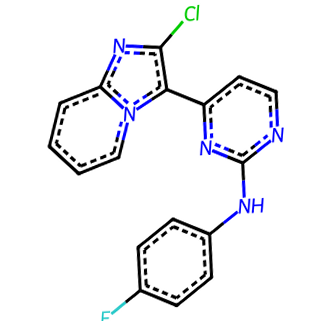 Fc1ccc(Nc2nccc(-c3c(Cl)nc4ccccn34)n2)cc1